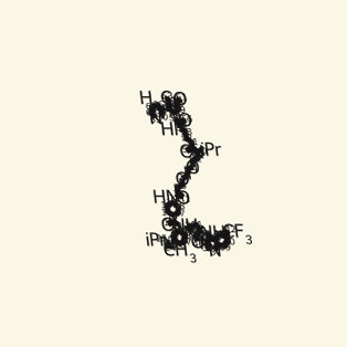 CC(C)N(CCOCCOCCC(=O)N[C@H]1CC[C@@H](C(=O)N[C@@H]2C[C@H](N(C)C(C)C)CC[C@@H]2N2CC[C@H](Nc3ncnc4ccc(C(F)(F)F)cc34)C2=O)CC1)C(=O)CCCNC(=O)C[C@H]1CC(=O)N(C)[C@@H]1c1cccnc1